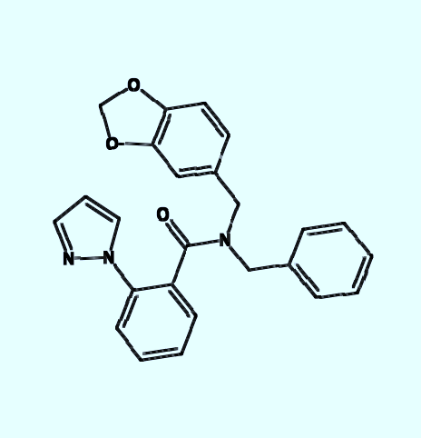 O=C(c1ccccc1-n1cccn1)N(Cc1ccccc1)Cc1ccc2c(c1)OCO2